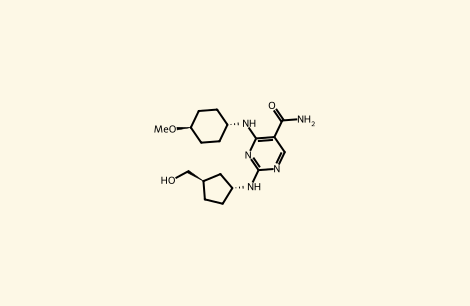 CO[C@H]1CC[C@H](Nc2nc(N[C@@H]3CC[C@@H](CO)C3)ncc2C(N)=O)CC1